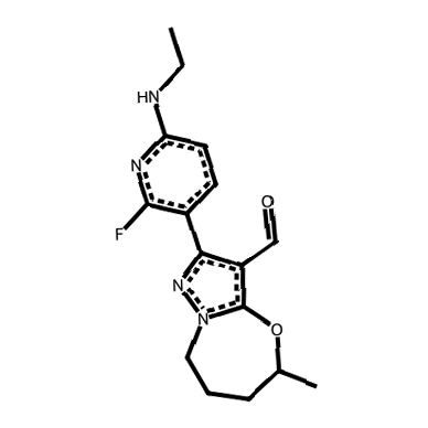 CCNc1ccc(-c2nn3c(c2C=O)OC(C)CCC3)c(F)n1